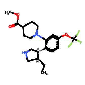 CC[C@H]1CNC[C@@H]1c1ccc(OC(F)(F)F)cc1N1CCC(C(=O)OC)CC1